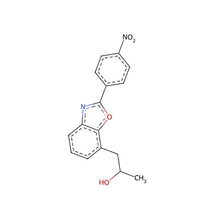 CC(O)Cc1cccc2nc(-c3ccc([N+](=O)[O-])cc3)oc12